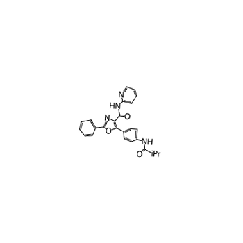 CC(C)C(=O)Nc1ccc(-c2oc(-c3ccccc3)nc2C(=O)Nc2ccccn2)cc1